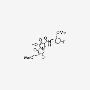 COCCN1C(=O)c2c(O)c(=O)c(C(=O)NCc3ccc(F)cc3COC)cn2CC1O